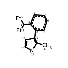 CCC(CC)c1ccccc1C1=C(C)[N]C=C1